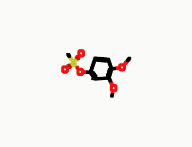 COc1[c]c(OS(C)(=O)=O)ccc1OC